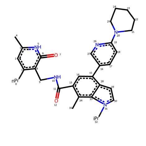 CCCc1cc(C)[nH]c(=O)c1CNC(=O)c1cc(-c2ccc(N3CCCCC3)nc2)c2ccn(C(C)C)c2c1C